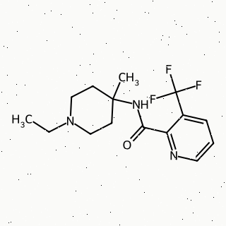 CCN1CCC(C)(NC(=O)c2ncccc2C(F)(F)F)CC1